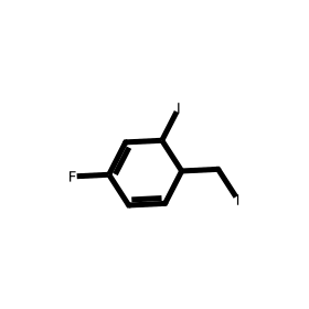 FC1=CC(I)C(CI)C=C1